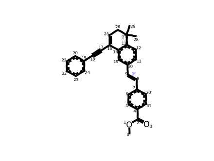 COC(=O)c1ccc(/C=C/c2ccc3c(c2)C(C#Cc2ccccc2)=CCC3(C)C)cc1